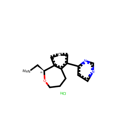 CNC[C@@H]1OCCCc2c(-c3ccncn3)cccc21.Cl